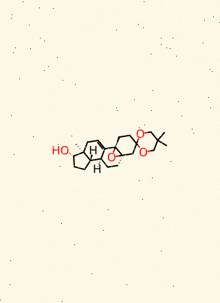 CC1(C)COC2(CC[C@]34O[C@]3(CC[C@@H]3C4=CC[C@]4(C)[C@@H](O)CC[C@@H]34)C2)OC1